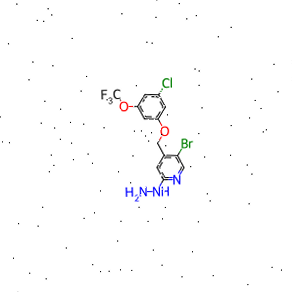 NNc1cc(COc2cc(Cl)cc(OC(F)(F)F)c2)c(Br)cn1